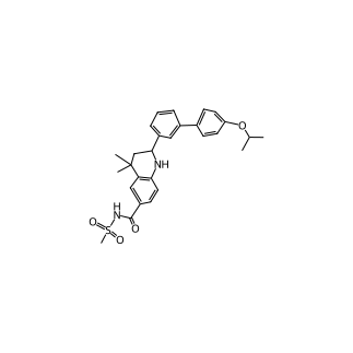 CC(C)Oc1ccc(-c2cccc(C3CC(C)(C)c4cc(C(=O)NS(C)(=O)=O)ccc4N3)c2)cc1